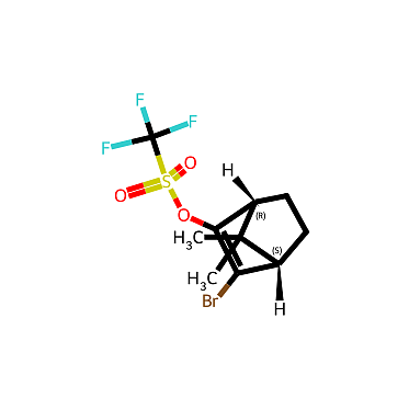 CC1(C)[C@@H]2CC[C@H]1C(OS(=O)(=O)C(F)(F)F)=C2Br